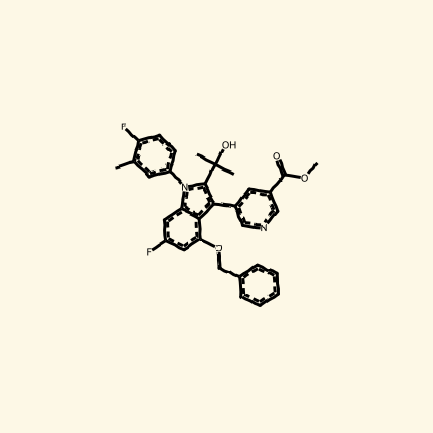 COC(=O)c1cncc(-c2c(C(C)(C)O)n(-c3ccc(F)c(C)c3)c3cc(F)cc(OCc4ccccc4)c23)c1